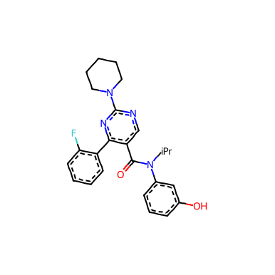 CC(C)N(C(=O)c1cnc(N2CCCCC2)nc1-c1ccccc1F)c1cccc(O)c1